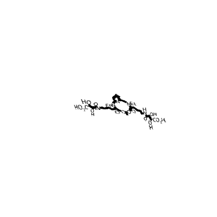 CCN1Cc2cccc(n2)CN(CC)C(CCCCNC(=O)[C@H](O)[C@@H](O)C(=O)O)C(=O)OC(C)OC(=O)C1CCCCNC(=O)[C@H](O)[C@@H](O)C(=O)O